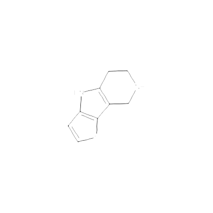 c1cc2[nH]c3c(c2s1)CNCC3